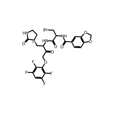 CC(C)CC(NC(=O)c1ccc2c(c1)OCO2)C(=O)NC(C[C@@H]1CCNC1=O)C(=O)COc1c(F)c(F)cc(F)c1F